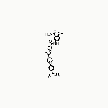 C=C(C)c1ccc(N2CCN(C(=O)CN3CC[C@@H](C(=O)Nc4ccc(O)c(C(N)=O)c4)C3)CC2)cc1